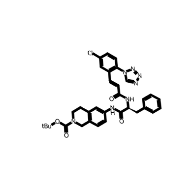 CC(C)(C)OC(=O)N1CCc2cc(NC(=O)[C@H](Cc3ccccc3)NC(=O)/C=C/c3cc(Cl)ccc3-n3cnnn3)ccc2C1